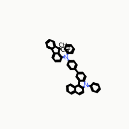 CC1(C)c2ccccc2-c2cccc(N(c3ccccc3)c3ccc(-c4ccc5c(c4)c4c6ccccc6ccc4n5-c4ccccc4)cc3)c21